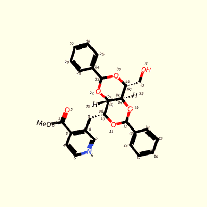 COC(=O)c1ccncc1C[C@H]1OC(c2ccccc2)O[C@H]2[C@H]1OC(c1ccccc1)O[C@@H]2CO